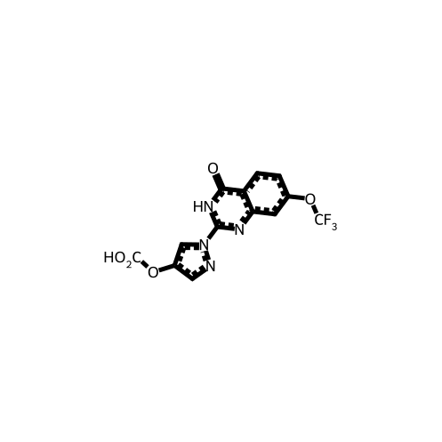 O=C(O)Oc1cnn(-c2nc3cc(OC(F)(F)F)ccc3c(=O)[nH]2)c1